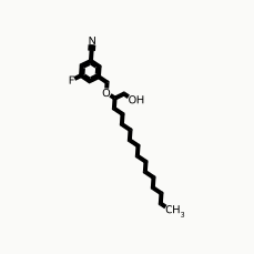 CCCCCCCCCCCCCCC(CO)OCc1cc(F)cc(C#N)c1